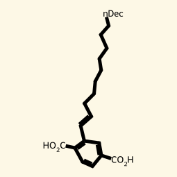 CCCCCCCCCCCCCCCCCCC=Cc1cc(C(=O)O)ccc1C(=O)O